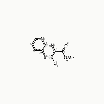 COC(=O)c1nc2ncccc2cc1Cl